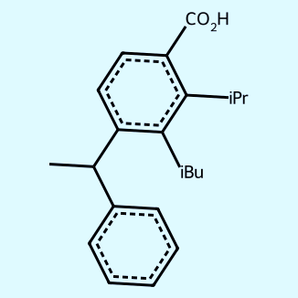 CCC(C)c1c(C(C)c2ccccc2)ccc(C(=O)O)c1C(C)C